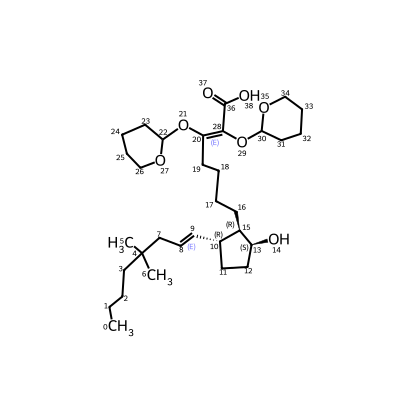 CCCCC(C)(C)C/C=C/[C@H]1CC[C@H](O)[C@@H]1CCCC/C(OC1CCCCO1)=C(\OC1CCCCO1)C(=O)O